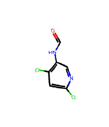 O=CNc1cnc(Cl)cc1Cl